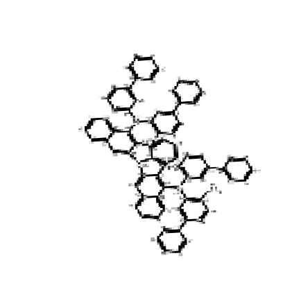 Cc1ccc(-c2ccccc2)cc1N(c1cccc(-c2ccccc2)c1)c1c2ccccc2cc2c1c1cccc3c4c(N(c5cc(-c6ccccc6)ccc5C)c5cc(-c6ccccc6)ccc5C)c5ccccc5cc4n2c13